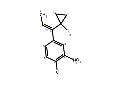 C/C=C(/c1ccc(Cl)c([N+](=O)[O-])c1)C1(F)CC1